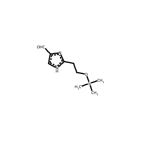 C[Si](C)(C)OCCc1nc(C=O)c[nH]1